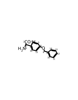 NC(C(=O)O)c1ccc(OCc2ccccc2)cc1